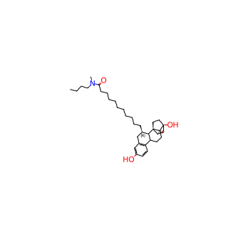 CCCCN(C)C(=O)CCCCCCCCCC[C@@H]1Cc2cc(O)ccc2C2CC[C@]3(C)[C@]4(O)CC[C@@]3(CC4)C21